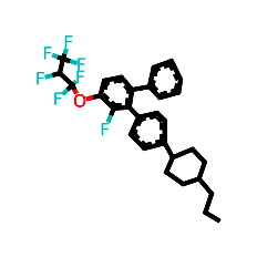 CCCC1CCC(c2ccc(-c3c(-c4ccccc4)ccc(OC(F)(F)C(F)C(F)(F)F)c3F)cc2)CC1